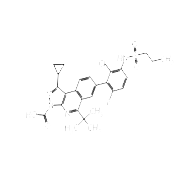 CCCS(=O)(=O)Nc1ccc(F)c(-c2ccc3c(c2)c(C(C)(C)C)nc2c3c(C3CC3)nn2C(=O)O)c1Cl